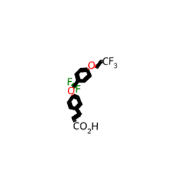 O=C(O)/C=C/c1ccc(OC(F)(F)c2ccc(OCCC(F)(F)F)cc2)cc1